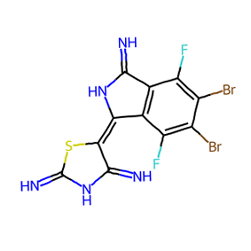 N=C1NC(=N)C(=C2NC(=N)c3c(F)c(Br)c(Br)c(F)c32)S1